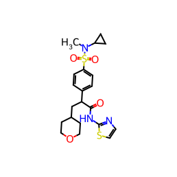 CN(C1CC1)S(=O)(=O)c1ccc(C(CC2CCOCC2)C(=O)Nc2nccs2)cc1